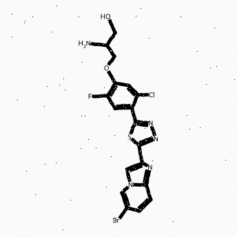 NC(CO)COc1cc(Cl)c(-c2nnc(-c3cn4cc(Br)ccc4n3)s2)cc1F